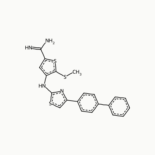 CSc1sc(C(=N)N)cc1Nc1nc(-c2ccc(-c3ccccc3)cc2)cs1